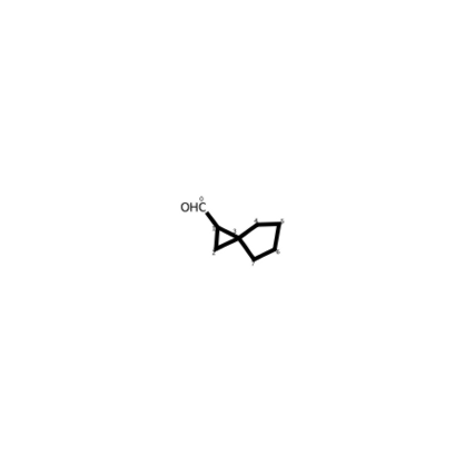 O=CC1CC12CCCC2